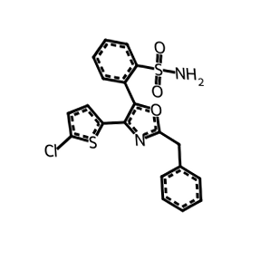 NS(=O)(=O)c1ccccc1-c1oc(Cc2ccccc2)nc1-c1ccc(Cl)s1